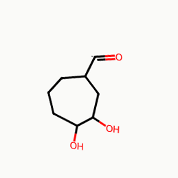 O=[C]C1CCCC(O)C(O)C1